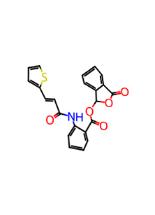 O=C(C=Cc1cccs1)Nc1ccccc1C(=O)OC1OC(=O)c2ccccc21